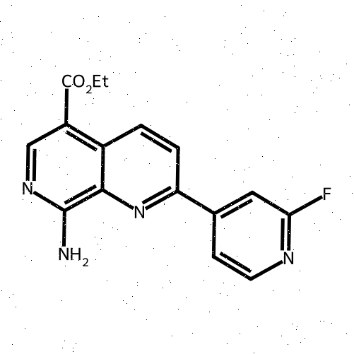 CCOC(=O)c1cnc(N)c2nc(-c3ccnc(F)c3)ccc12